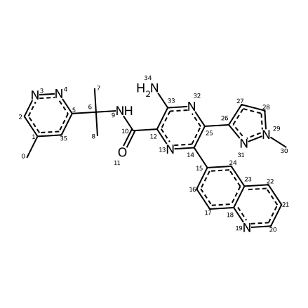 Cc1cnnc(C(C)(C)NC(=O)c2nc(-c3ccc4ncccc4c3)c(-c3ccn(C)n3)nc2N)c1